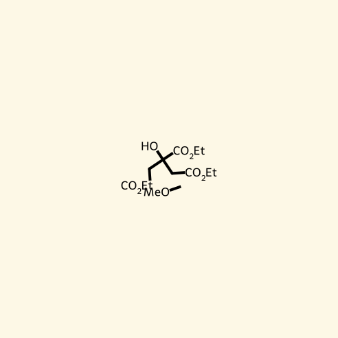 CCOC(=O)CC(O)(CC(=O)OCC)C(=O)OCC.COC